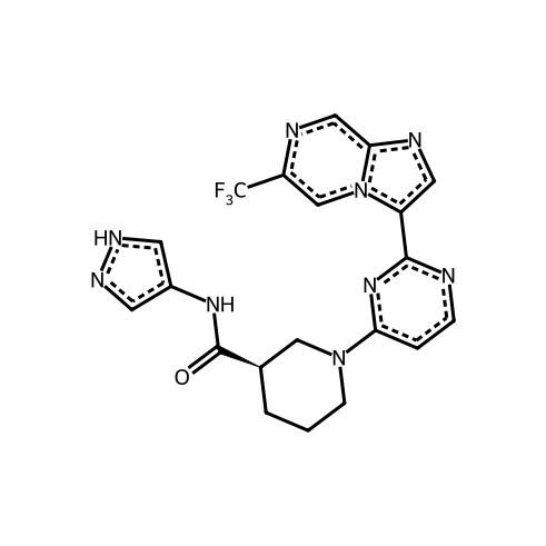 O=C(Nc1cn[nH]c1)[C@@H]1CCCN(c2ccnc(-c3cnc4cnc(C(F)(F)F)cn34)n2)C1